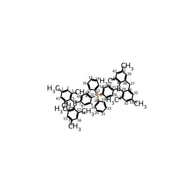 Cc1cc(C)c(B(c2ccc(S(c3ccccc3)(c3ccccc3)c3ccc(B4c5c(C)cc(C)cc5Cc5cc(C)cc(C)c54)cc3)cc2)c2c(C)cc(C)cc2C)c(C)c1